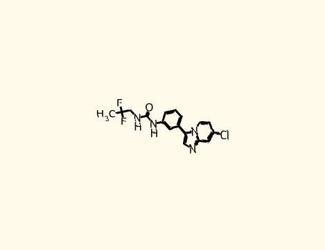 CC(F)(F)CNC(=O)Nc1cccc(-c2cnc3cc(Cl)ccn23)c1